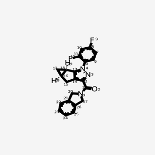 O=C(c1nn(-c2ccc(F)cc2F)c2c1C[C@H]1C[C@@H]21)N1Cc2ccccc2C1